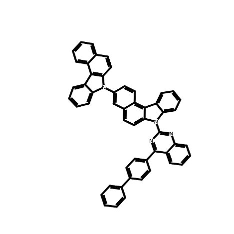 c1ccc(-c2ccc(-c3nc(-n4c5ccccc5c5c6ccc(-n7c8ccccc8c8c9ccccc9ccc87)cc6ccc54)nc4ccccc34)cc2)cc1